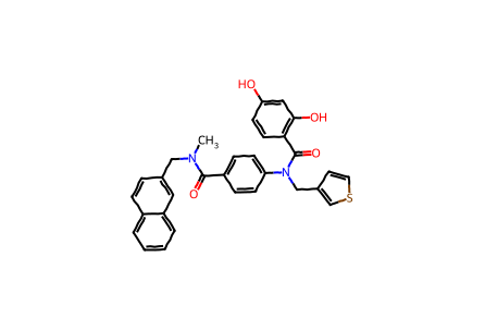 CN(Cc1ccc2ccccc2c1)C(=O)c1ccc(N(Cc2ccsc2)C(=O)c2ccc(O)cc2O)cc1